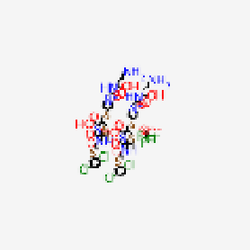 NCCC[C@H](NC(=O)C[n+]1ccc(SCC2=C(C(=O)O)N3C(=O)[C@H](NC(=O)CSc4cc(Cl)ccc4Cl)[C@H]3SC2)cc1)C(=O)O.NCCC[C@H](NC(=O)C[n+]1ccc(SCC2=C(C(=O)O)N3C(=O)[C@H](NC(=O)CSc4cc(Cl)ccc4Cl)[C@H]3SC2)cc1)C(=O)O.O=C([O-])C(F)(F)F.[Cl-]